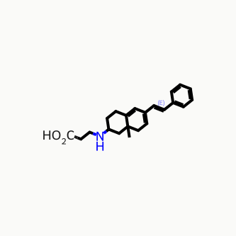 CC12CC=C(/C=C/c3ccccc3)C=C1CCC(NCCC(=O)O)C2